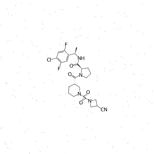 C[C@@H](NC(=O)[C@H]1CCCN1C(=O)[C@H]1CCCN(S(=O)(=O)N2CC(C#N)C2)C1)c1cc(F)c(Cl)cc1F